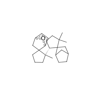 CC1(C)CC[C@@H](C2(C)CCCC23Cc2ccc3o2)C12CC1CCC2C1